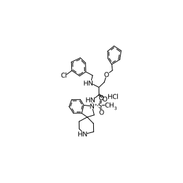 CS(=O)(=O)[N+]1(NC(=O)C(COCc2ccccc2)NCc2cccc(Cl)c2)CC2(CCNCC2)c2ccccc21.Cl